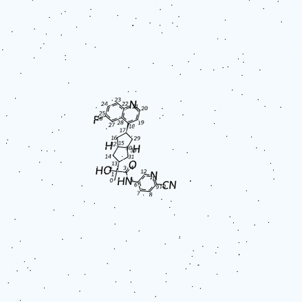 CC(O)(C(=O)Nc1ccc(C#N)nc1)[C@H]1C[C@H]2C[C@@H](c3ccnc4ccc(F)cc34)C[C@H]2C1